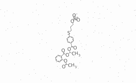 CC(=O)Oc1ccccc1C(=O)OC(C)OC(=O)c1ccc(SCCCO[N+](=O)[O-])cc1